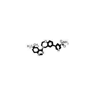 CC1(C)CCc2ncnc(N3CCOc4ccc(-c5cncc(S(N)(=O)=O)c5)cc4C3)c2C1